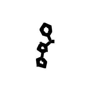 c1ccc(Nc2nc(-n3ccnc3)cs2)cc1